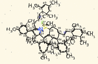 CC1=CC(C)(C)C(/C=C/Cc2c(-c3c(C)cc(C)cc3C)c(C)c3n2S(C)(F)C2CC=C(/C=C/C4=C(C)C=C(C)C(C)C4C)C(c4c(C)cc(C)cc4C)=C(C)C2=C3c2c(C)cc(C)cc2C)C(C)=C1